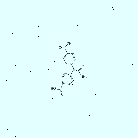 NC(=O)N(c1ccc(S(=O)O)cc1)c1ccc(S(=O)O)cc1